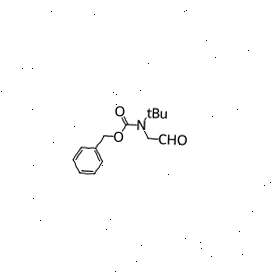 CC(C)(C)N(CC=O)C(=O)OCc1ccccc1